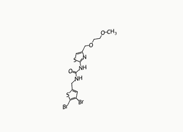 COCCOCc1csc(NC(=O)NCc2cc(Br)c(Br)s2)n1